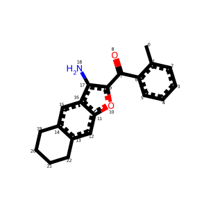 Cc1ccccc1C(=O)c1oc2cc3c(cc2c1N)CCCC3